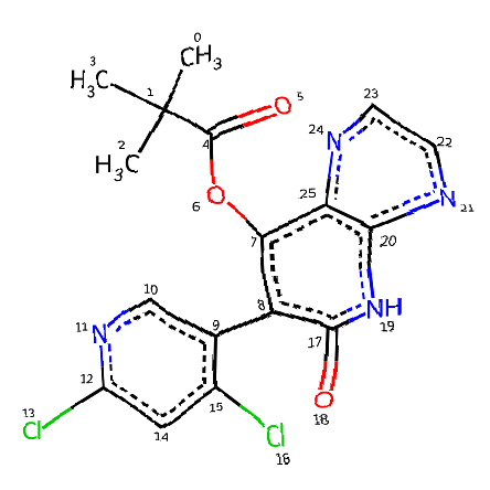 CC(C)(C)C(=O)Oc1c(-c2cnc(Cl)cc2Cl)c(=O)[nH]c2nccnc12